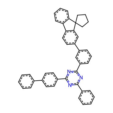 c1ccc(-c2ccc(-c3nc(-c4ccccc4)nc(-c4cccc(-c5ccc6c(c5)C5(CCCC5)c5ccccc5-6)c4)n3)cc2)cc1